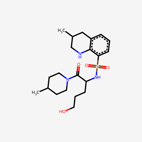 CC1CCN(C(=O)C(CCCO)NS(=O)(=O)c2cccc3c2NCC(C)C3)CC1